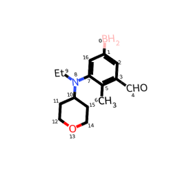 Bc1cc(C=O)c(C)c(N(CC)C2CCOCC2)c1